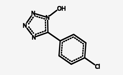 On1nnnc1-c1ccc(Cl)cc1